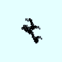 CCc1ccc(COC2CN(C(=O)O)CCC2c2ccc(OCCCOCc3ccccc3OC)cc2)cc1OCCCOC